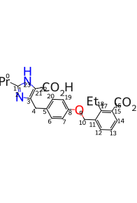 CCCc1nc(Cc2ccc(OCc3cccc(C(=O)O)c3CC)cc2)c(C(=O)O)[nH]1